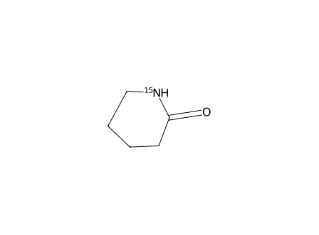 O=C1CCCC[15NH]1